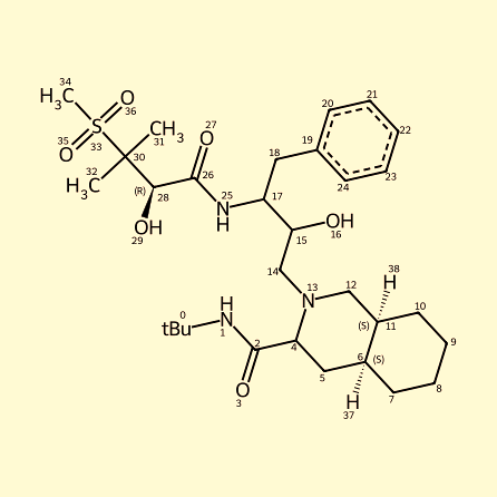 CC(C)(C)NC(=O)C1C[C@@H]2CCCC[C@@H]2CN1CC(O)C(Cc1ccccc1)NC(=O)[C@@H](O)C(C)(C)S(C)(=O)=O